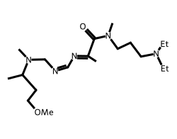 CCN(CC)CCCN(C)C(=O)/C(C)=N/C=N\CN(C)C(C)CCOC